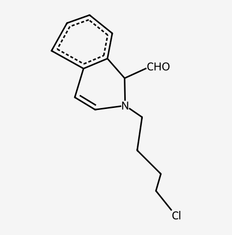 O=CC1c2ccccc2C=CN1CCCCCl